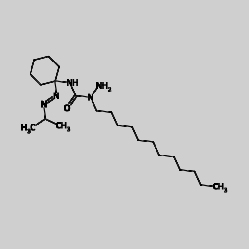 CCCCCCCCCCCCN(N)C(=O)NC1(N=NC(C)C)CCCCC1